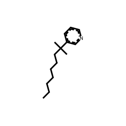 CCCCCCCC(C)(C)c1cccnc1